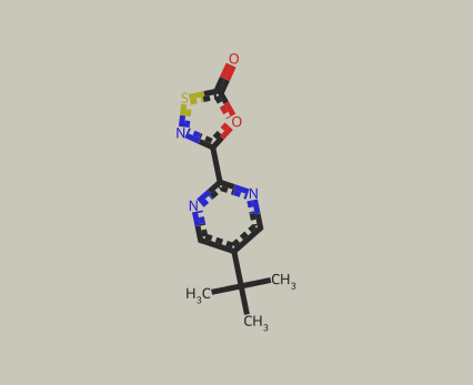 CC(C)(C)c1cnc(-c2nsc(=O)o2)nc1